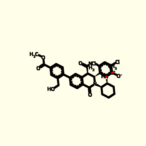 COC(=O)c1ccc(-c2ccc3c(c2)[C@@H](C(N)=O)[C@H](c2ccc(Cl)cc2Cl)N([C@@H]2CCCC[C@H]2N[S+](C)[O-])C3=O)c(CO)c1